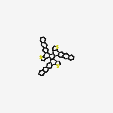 C1=CC2c3c(c4c5ccsc5c5cc6cc7ccccc7cc6cc5c4c4c5ccsc5c5cc6cc7ccccc7cc6cc5c34)-c3cc4cc5ccccc5cc4cc3C2S1